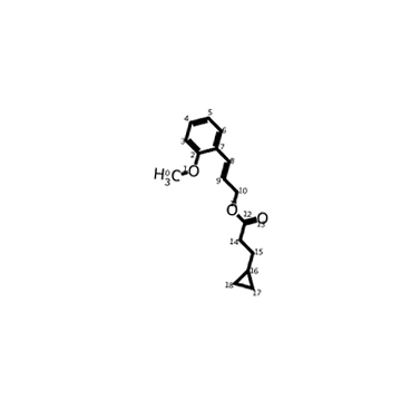 COc1ccccc1C=CCOC(=O)CCC1CC1